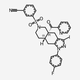 N#Cc1cccc(S(=O)(=O)N2CC[C@H]3Cc4c(c(I)nn4-c4ccc(F)cc4)C[C@]3(C(=O)c3ccccn3)C2)c1